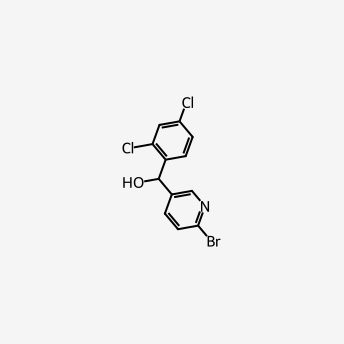 OC(c1ccc(Br)nc1)c1ccc(Cl)cc1Cl